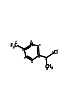 CC(Cl)c1ccc(C(F)(F)F)nc1